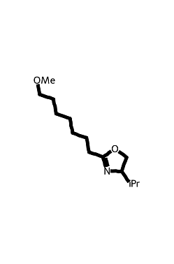 COCCCCCCCC1=NC(C(C)C)CO1